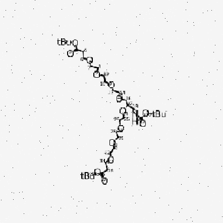 CC(C)(C)OC(=O)CCOCCOCCOCCOCC(CNC(=O)OC(C)(C)C)OCCOCCOCCOCCC(=O)OC(C)(C)C